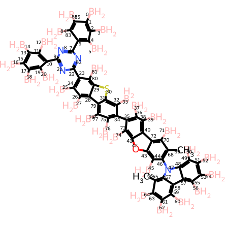 Bc1c(B)c(B)c(-c2nc(-c3c(B)c(B)c(B)c(B)c3B)nc(-c3c(B)c(B)c4c(sc5c(B)c(-c6c(B)c(B)c7c(oc8c(B)c(-n9c%10c(B)c(B)c(B)c(B)c%10c%10c(B)c(B)c(B)c(C)c%109)c(C)c(B)c87)c6B)c(B)c(B)c54)c3B)n2)c(B)c1B